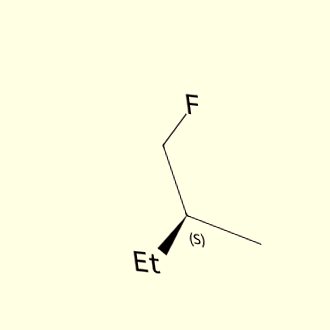 CC[C@H](C)CF